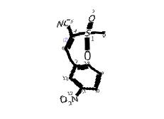 CS(=O)(=O)/C(C#N)=C\c1cccc([N+](=O)[O-])c1